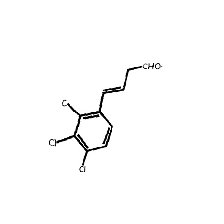 O=[C]C/C=C/c1ccc(Cl)c(Cl)c1Cl